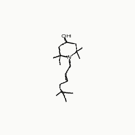 CC(C)(C)C/C=C/CN1C(C)(C)CC(O)CC1(C)C